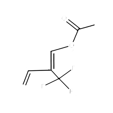 C=C/C(=C/OC(C)=O)C(F)(F)F